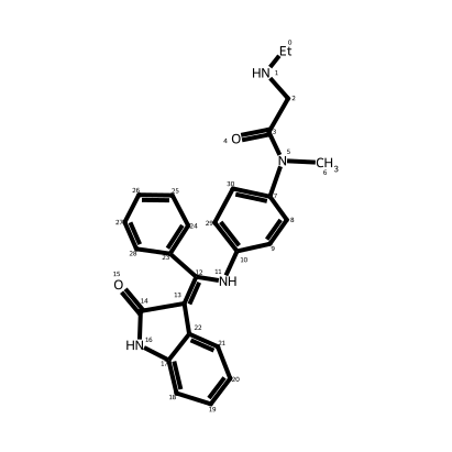 CCNCC(=O)N(C)c1ccc(NC(=C2C(=O)Nc3ccccc32)c2ccccc2)cc1